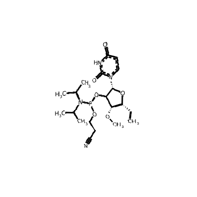 CC[C@H]1O[C@@H](n2ccc(=O)[nH]c2=O)C(OP(OCCC#N)N(C(C)C)C(C)C)[C@H]1OC